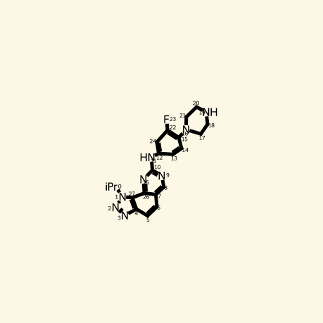 CC(C)n1nnc2ccc3cnc(Nc4ccc(N5CCNCC5)c(F)c4)nc3c21